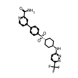 NC(=O)c1cc(-c2ccc(S(=O)(=O)[C@H]3CC[C@H](Nc4ccc(C(F)(F)F)nn4)CC3)cc2)ccn1